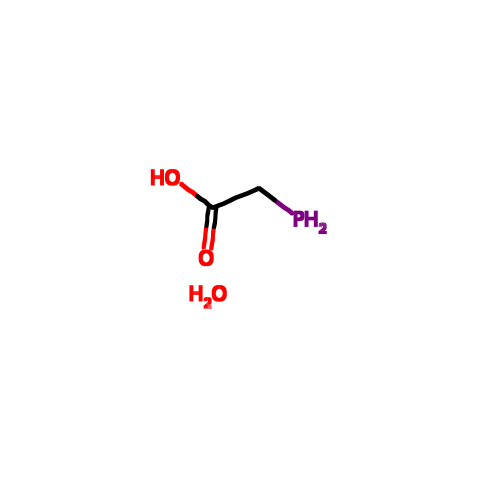 O.O=C(O)CP